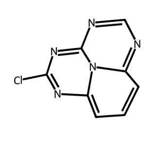 ClC1=NC2=CC=CC3=NC=NC(=N1)N23